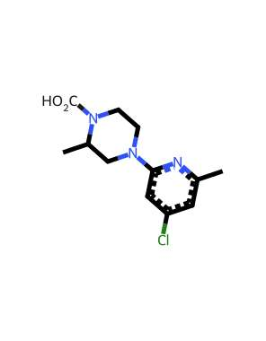 Cc1cc(Cl)cc(N2CCN(C(=O)O)C(C)C2)n1